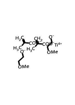 C=C(C)C(=O)[O-].C=C(C)C(=O)[O-].COCC[O-].COCC[O-].[Ti+4]